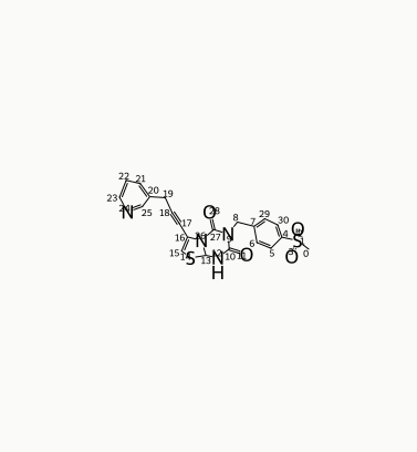 CS(=O)(=O)c1ccc(CN2C(=O)NC3SC=C(C#CCc4cccnc4)N3C2=O)cc1